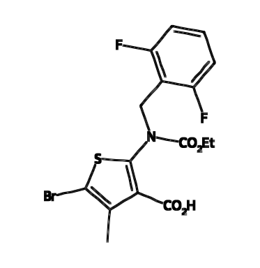 CCOC(=O)N(Cc1c(F)cccc1F)c1sc(Br)c(C)c1C(=O)O